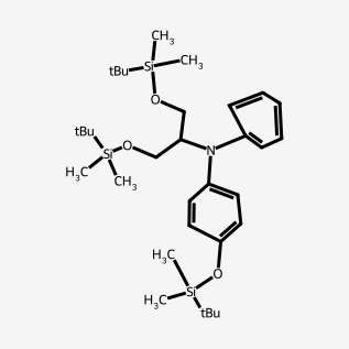 CC(C)(C)[Si](C)(C)OCC(CO[Si](C)(C)C(C)(C)C)N(c1ccccc1)c1ccc(O[Si](C)(C)C(C)(C)C)cc1